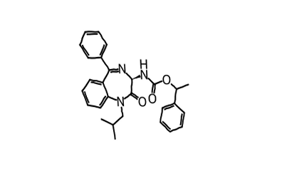 CC(C)CN1C(=O)[C@H](NC(=O)OC(C)c2ccccc2)N=C(c2ccccc2)c2ccccc21